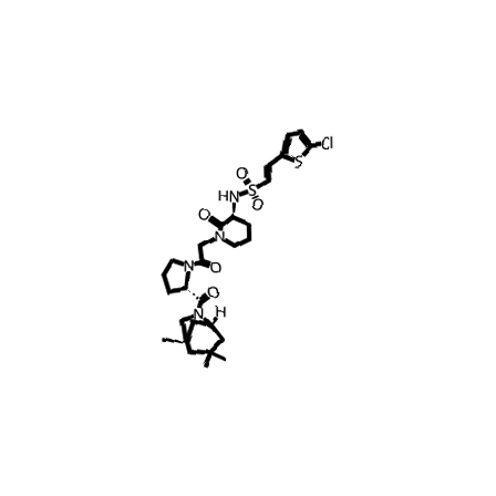 CC1(C)C[C@@H]2C[C@@](C)(CN2C(=O)[C@@H]2CCCN2C(=O)CN2CCC[C@H](NS(=O)(=O)/C=C/c3ccc(Cl)s3)C2=O)C1